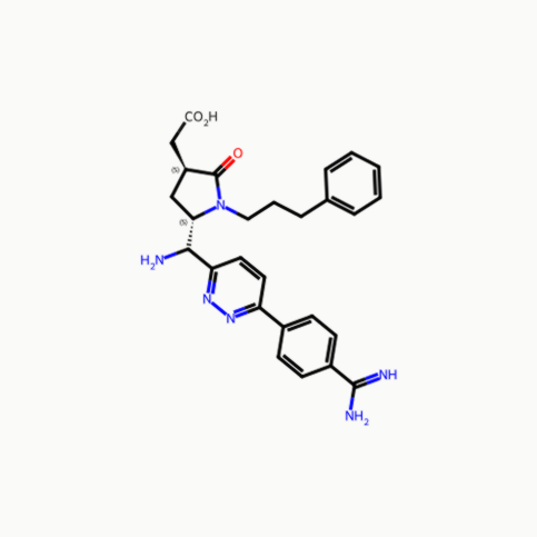 N=C(N)c1ccc(-c2ccc(C(N)[C@@H]3C[C@@H](CC(=O)O)C(=O)N3CCCc3ccccc3)nn2)cc1